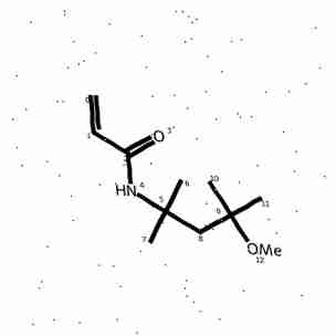 C=CC(=O)NC(C)(C)CC(C)(C)OC